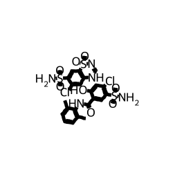 Cc1cccc(C)c1NC(=O)c1cc(S(N)(=O)=O)c(Cl)cc1O.NS(=O)(=O)c1cc2c(cc1Cl)NC=NS2(=O)=O